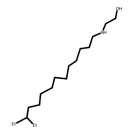 CCC(CC)CCCCCCCCCCCNCCO